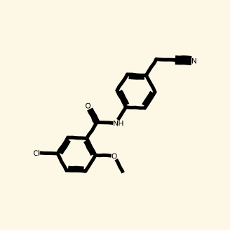 COc1ccc(Cl)cc1C(=O)Nc1ccc(CC#N)cc1